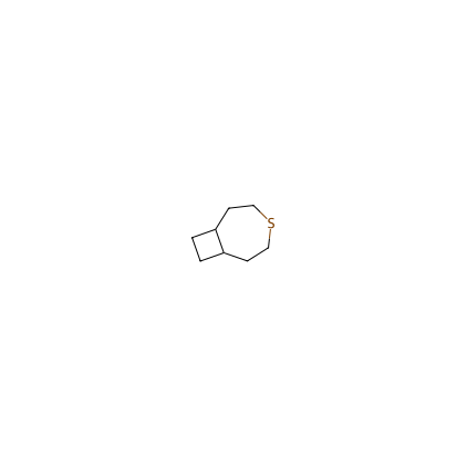 C1CC2CCC2CCS1